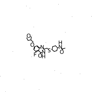 CC(=O)N[C@H]1CC[C@H](SCc2nc3cc(OCC4CCOC4)cc(F)c3c(=O)[nH]2)CC1